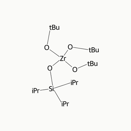 CC(C)[Si]([O][Zr]([O]C(C)(C)C)([O]C(C)(C)C)[O]C(C)(C)C)(C(C)C)C(C)C